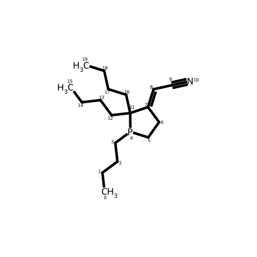 CCCCP1CCC(=CC#N)C1(CCCC)CCCC